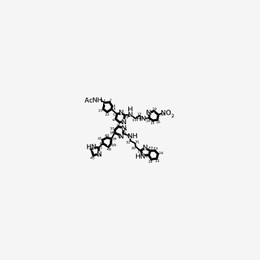 CC(=O)Nc1ccc(-c2ccnc(NCCNc3ccc([N+](=O)[O-])cn3)n2)cc1.c1ccc2[nH]c(CCCNc3nccc(-c4ccc(-c5ncc[nH]5)cc4)n3)nc2c1